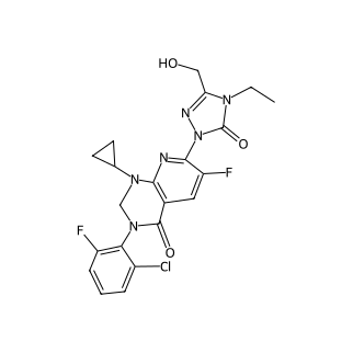 CCn1c(CO)nn(-c2nc3c(cc2F)C(=O)N(c2c(F)cccc2Cl)CN3C2CC2)c1=O